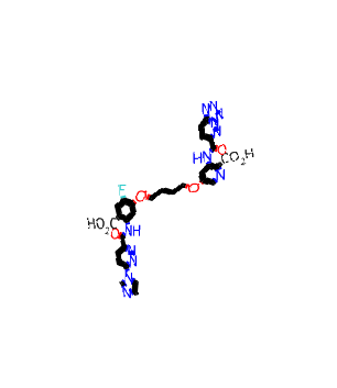 O=C(Nc1cc(OCCCCOc2cnc(C(=O)O)c(NC(=O)c3ccc4nnnn4n3)c2)c(F)cc1C(=O)O)c1ccc(-n2ccnc2)nn1